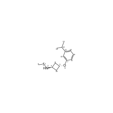 CSN[C@H]1C[C@H](Oc2cccc(C(C)C)c2)C1